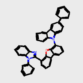 c1ccc(-c2ccc3c(c2)c2ccccc2n3-c2cccc3c2oc2c(-c4nc5ccccc5n4-c4ccccc4)cccc23)cc1